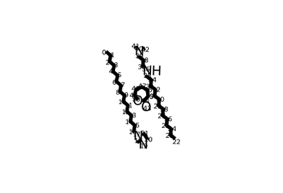 CCCCCCCCCCCCCCCCCN1C=NCC1.CCCCCCCCCCCCCCNCCCN(C)C.O=C1CCCCCO1